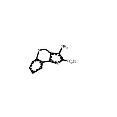 CCOC(=O)c1sc2c(c1N)CSc1ccccc1-2